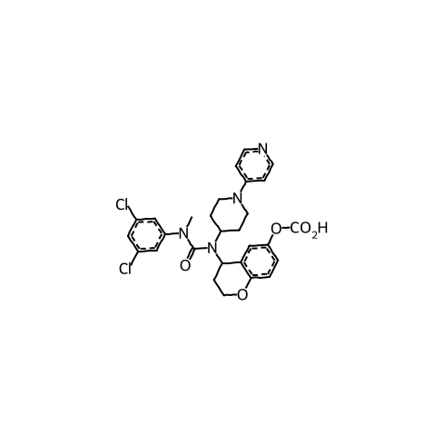 CN(C(=O)N(C1CCN(c2ccncc2)CC1)C1CCOc2ccc(OC(=O)O)cc21)c1cc(Cl)cc(Cl)c1